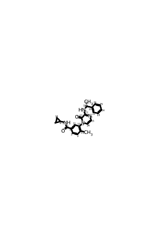 Cc1ccc(C(=O)NC2CC2)cc1-n1ccnc(N[C@H](C)c2ccccc2)c1=O